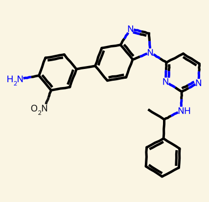 CC(Nc1nccc(-n2cnc3cc(-c4ccc(N)c([N+](=O)[O-])c4)ccc32)n1)c1ccccc1